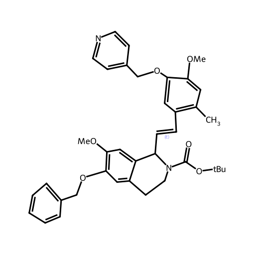 COc1cc(C)c(/C=C/C2c3cc(OC)c(OCc4ccccc4)cc3CCN2C(=O)OC(C)(C)C)cc1OCc1ccncc1